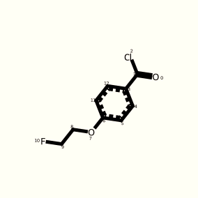 O=C(Cl)c1ccc(OCCF)cc1